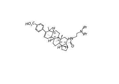 CC(C)N(CCNC(=O)[C@]12CCC[C@@H]1[C@H]1CC[C@@H]3[C@@]4(C)CC=C(c5ccc(C(=O)O)cc5)C(C)(C)[C@@H]4CC[C@@]3(C)[C@]1(C)CC2)C(C)C